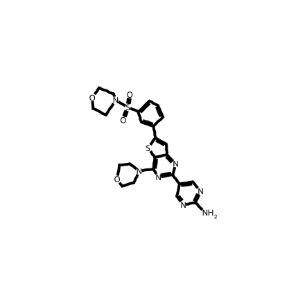 Nc1ncc(-c2nc(N3CCOCC3)c3sc(-c4cccc(S(=O)(=O)N5CCOCC5)c4)cc3n2)cn1